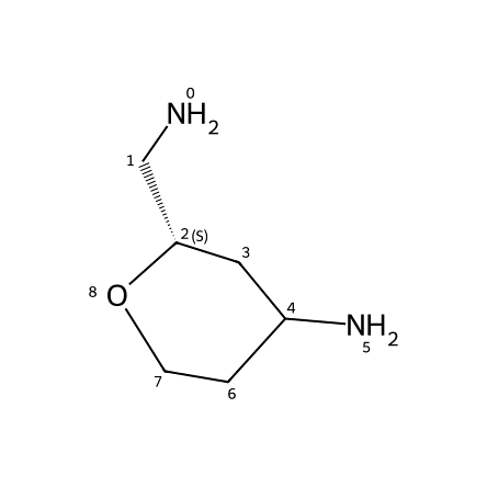 NC[C@@H]1CC(N)CCO1